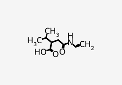 C=CNC(=O)CC(C(=O)O)C(C)C